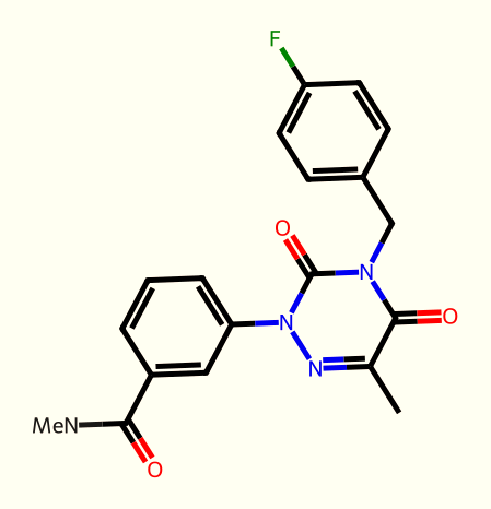 CNC(=O)c1cccc(-n2nc(C)c(=O)n(Cc3ccc(F)cc3)c2=O)c1